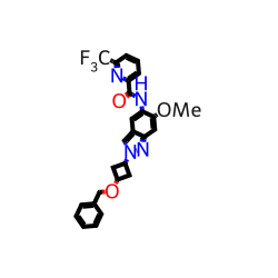 COc1cc2nn(C3CC(OCc4ccccc4)C3)cc2cc1NC(=O)c1cccc(C(F)(F)F)n1